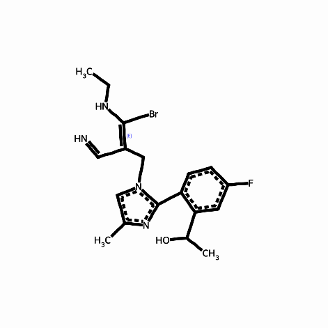 CCN/C(Br)=C(\C=N)Cn1cc(C)nc1-c1ccc(F)cc1C(C)O